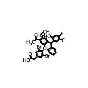 COc1cc(C(c2ccccc2)c2cc(F)c(F)cc2O)c(Oc2c(Br)cc(CC(=O)O)cc2Br)cc1C(C)C